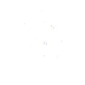 O=C1NC(=O)N(C(=O)c2ccccc2)C(=O)C1=O